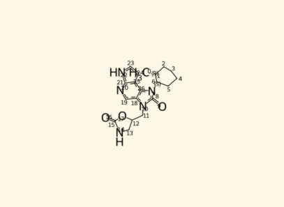 C[C@@H]1CCCC[C@@H]1n1c(=O)n(CC2CNC(=O)O2)c2cnc3[nH]ccc3c21